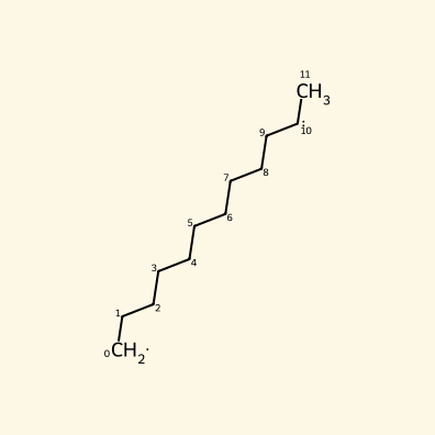 [CH2]CCCCCCCCC[C]C